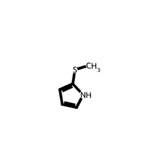 CSc1ccc[nH]1